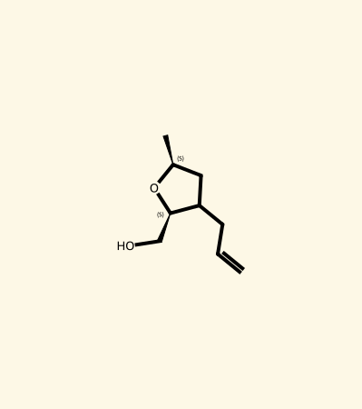 C=CCC1C[C@H](C)O[C@@H]1CO